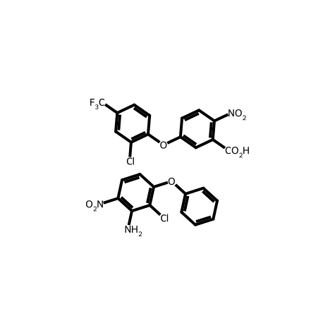 Nc1c([N+](=O)[O-])ccc(Oc2ccccc2)c1Cl.O=C(O)c1cc(Oc2ccc(C(F)(F)F)cc2Cl)ccc1[N+](=O)[O-]